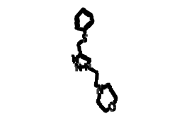 c1ccc(SCc2cn(CCN3CCOCC3)nn2)cc1